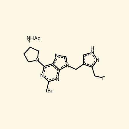 CC(=O)N[C@H]1CCN(c2nc(C(C)(C)C)nc3c2ncn3Cc2c[nH]nc2CF)C1